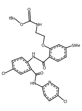 CSc1ccc(C(=O)Nc2ccc(Cl)cc2C(=O)Nc2ccc(Cl)cn2)c(OCCNC(=O)OC(C)(C)C)c1